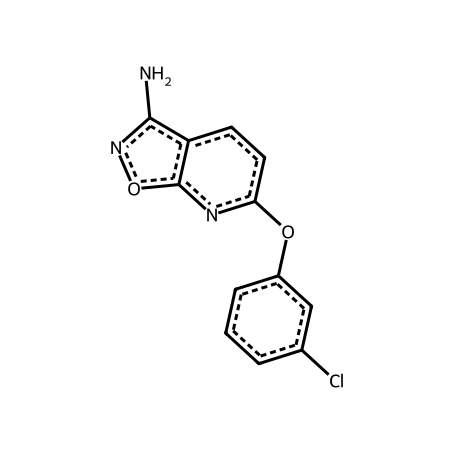 Nc1noc2nc(Oc3cccc(Cl)c3)ccc12